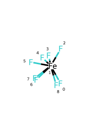 [F][Fe]([F])([F])([F])([F])([F])([F])[F]